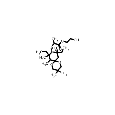 CCC1(C)CC2(OCC(C)(C)CO2)C(C)C(C)(CC)N1OC(C)C(=O)OCCO